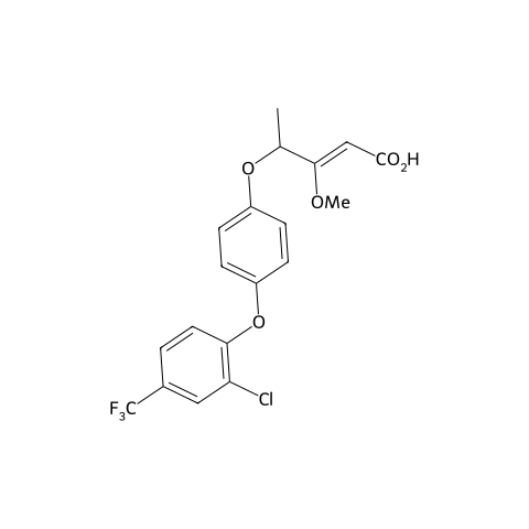 CO/C(=C\C(=O)O)C(C)Oc1ccc(Oc2ccc(C(F)(F)F)cc2Cl)cc1